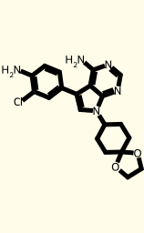 Nc1ccc(-c2cn(C3CCC4(CC3)OCCO4)c3ncnc(N)c23)cc1Cl